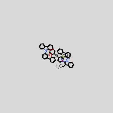 C=Cc1c(/N=C\C)n(-c2cccc3c2sc2c([Si](c4ccccc4)(c4ccccc4)c4cccc5c4oc4c(-n6c7ccccc7c7ccccc76)cccc45)cccc23)c2ccccc12